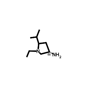 CCN1C[C@@H](N)CC1C(C)C